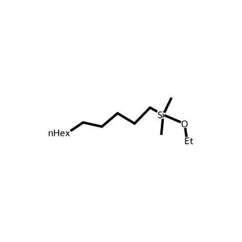 CCCCCCCCCCC[Si](C)(C)OCC